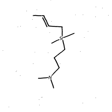 C/C=C/C[Si](C)(C)CCCN(C)C